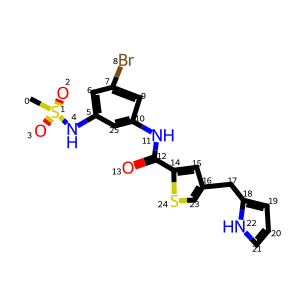 CS(=O)(=O)Nc1cc(Br)cc(NC(=O)c2cc(Cc3ccc[nH]3)cs2)c1